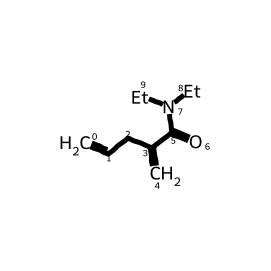 C=CCC(=C)C(=O)N(CC)CC